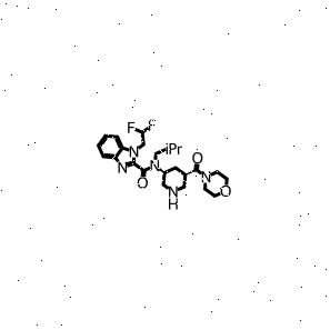 CC(C)CN(C(=O)c1nc2ccccc2n1CC(F)F)[C@@H]1CNC[C@H](C(=O)N2CCOCC2)C1